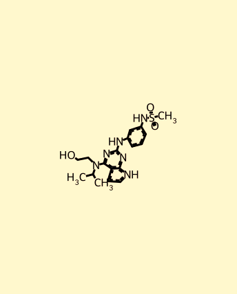 CC(C)N(CCO)c1nc(Nc2cccc(NS(C)(=O)=O)c2)nc2[nH]ccc12